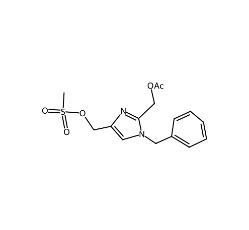 CC(=O)OCc1nc(COS(C)(=O)=O)cn1Cc1ccccc1